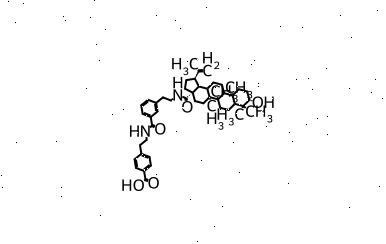 C=C(C)[C@@H]1CC[C@]2(C(=O)NCCc3cccc(C(=O)NCCc4ccc(C(=O)O)cc4)c3)CC[C@]3(C)C(CCC4[C@@]5(C)CC[C@H](O)C(C)(C)C5CC[C@]43C)C12